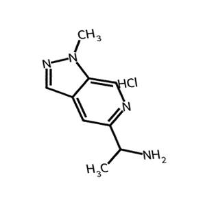 CC(N)c1cc2cnn(C)c2cn1.Cl